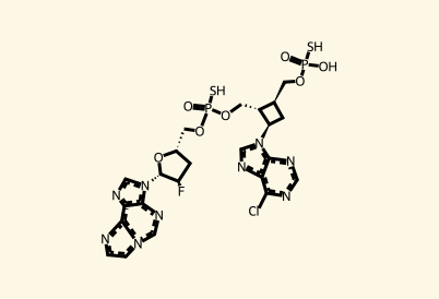 O=P(O)(S)OC[C@H]1C[C@@H](n2cnc3c(Cl)ncnc32)[C@@H]1COP(=O)(S)OC[C@@H]1C[C@@H](F)[C@H](n2cnc3c2ncn2ccnc32)O1